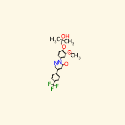 COc1cc(-n2ncc(-c3ccc(C(F)(F)F)cc3)cc2=O)ccc1OCC(C)(C)O